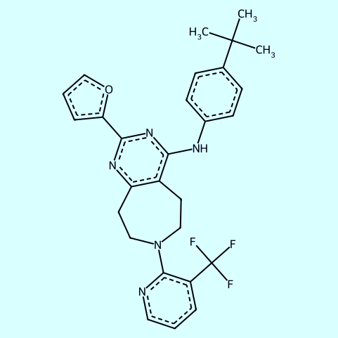 CC(C)(C)c1ccc(Nc2nc(-c3ccco3)nc3c2CCN(c2ncccc2C(F)(F)F)CC3)cc1